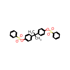 CC(C)(c1ccc(OS(=O)(=O)c2ccccc2)cc1)c1ccc(OS(=O)(=O)c2ccccc2)cc1